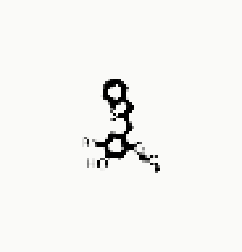 COCOc1cc(O)c(Br)cc1Cc1cc2ccccc2s1